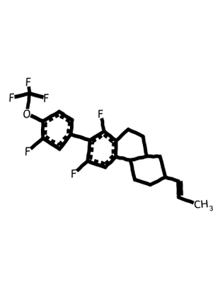 C/C=C/C1CCC2c3cc(F)c(-c4ccc(OC(F)(F)F)c(F)c4)c(F)c3CCC2C1